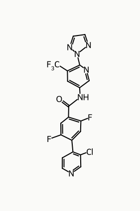 O=C(Nc1cnc(-n2nccn2)c(C(F)(F)F)c1)c1cc(F)c(-c2ccncc2Cl)cc1F